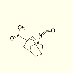 O=C=NC12CC3CC(C1)CC(C(=O)O)(C3)C2